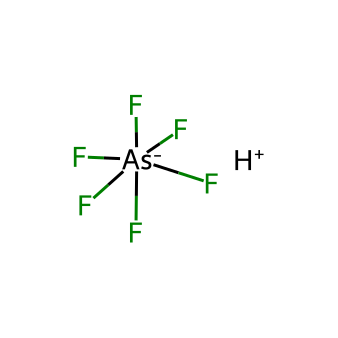 F[As-](F)(F)(F)(F)F.[H+]